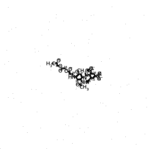 COc1cc(N=Nc2c(C#N)cc([N+](=O)[O-])cc2[N+](=O)[O-])c(NC(C)=O)cc1NCCC(=O)OCC(=O)OCC(C)=O